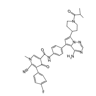 CC(C)C(=O)N1CCC(c2cc(-c3ccc(NC(=O)c4cn(C)c(C#N)c(-c5ccc(F)cc5)c4=O)cc3)c3c(N)ncnn23)CC1